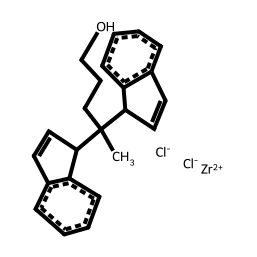 CC(CCCO)(C1C=Cc2ccccc21)C1C=Cc2ccccc21.[Cl-].[Cl-].[Zr+2]